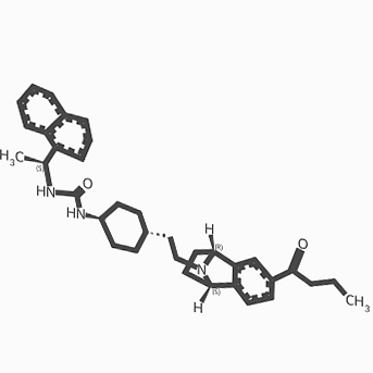 CCCC(=O)c1ccc2c(c1)[C@H]1CC[C@@H]2N1CC[C@H]1CC[C@H](NC(=O)N[C@@H](C)c2cccc3ccccc23)CC1